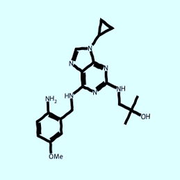 COc1ccc(N)c(CNc2nc(NCC(C)(C)O)nc3c2ncn3C2CC2)c1